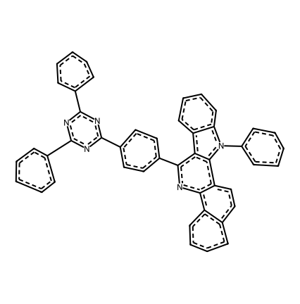 c1ccc(-c2nc(-c3ccccc3)nc(-c3ccc(-c4nc5c6ccccc6ccc5c5c4c4ccccc4n5-c4ccccc4)cc3)n2)cc1